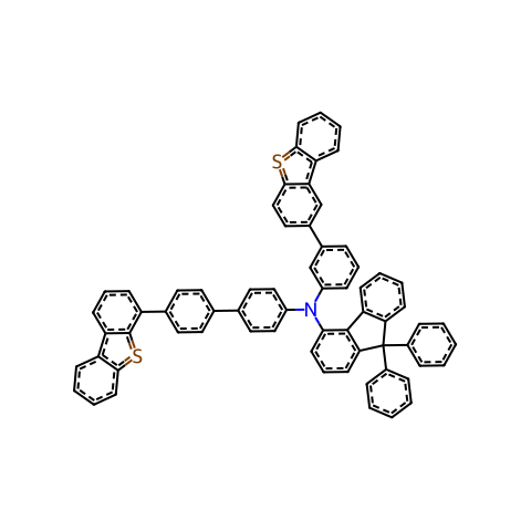 c1ccc(C2(c3ccccc3)c3ccccc3-c3c(N(c4ccc(-c5ccc(-c6cccc7c6sc6ccccc67)cc5)cc4)c4cccc(-c5ccc6sc7ccccc7c6c5)c4)cccc32)cc1